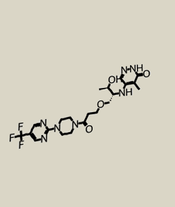 Cc1c(N[C@H](COCCC(=O)N2CCN(c3ncc(C(F)(F)F)cn3)CC2)[C@@H](C)O)cn[nH]c1=O